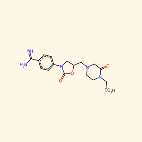 N=C(N)c1ccc(N2CC(CN3CCN(CC(=O)O)C(=O)C3)OC2=O)cc1